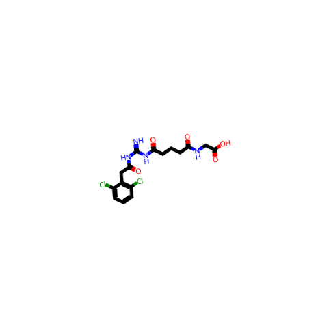 N=C(NC(=O)CCCC(=O)NCC(=O)O)NC(=O)Cc1c(Cl)cccc1Cl